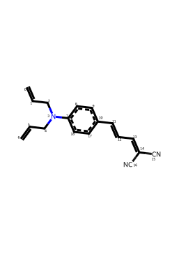 C=CCN(CC=C)c1ccc(C=CC=C(C#N)C#N)cc1